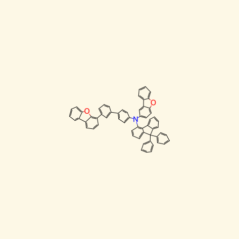 c1ccc(C2(c3ccccc3)c3ccccc3-c3c(N(c4ccc(-c5cccc(-c6cccc7c6oc6ccccc67)c5)cc4)c4ccc5oc6ccccc6c5c4)cccc32)cc1